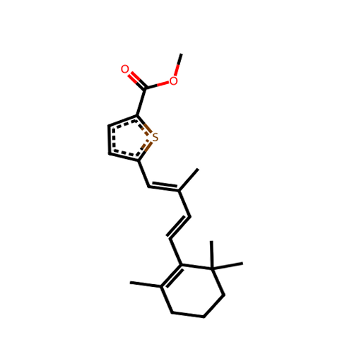 COC(=O)c1ccc(C=C(C)C=CC2=C(C)CCCC2(C)C)s1